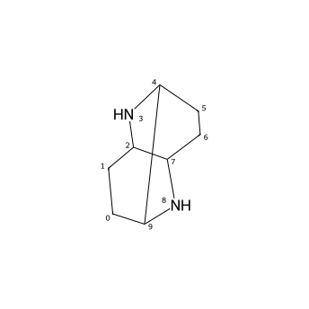 C1CC2NC3CCC2NC13